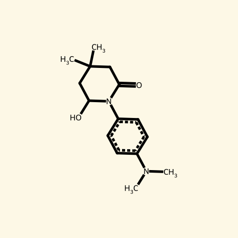 CN(C)c1ccc(N2C(=O)CC(C)(C)CC2O)cc1